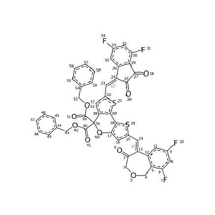 O=C1COCc2c(F)cc(F)cc2/C1=C/c1cc2c(s1)-c1sc(/C=C3\C(=O)C(=O)c4c(F)cc(F)cc43)cc1C(C(=O)OCc1ccccc1)(C(=O)OCc1ccccc1)O2